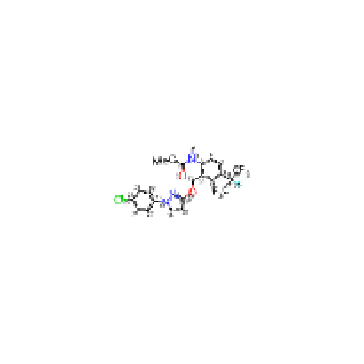 COC(=O)N(C)c1ccc(C(F)(C(F)(F)F)C(F)(F)F)cc1COc1ccn(-c2ccc(Cl)cc2)n1